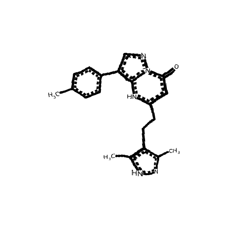 Cc1ccc(-c2cnn3c(=O)cc(CCc4c(C)n[nH]c4C)[nH]c23)cc1